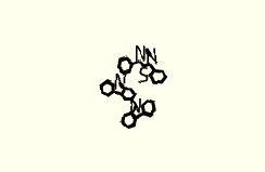 c1cc(-c2ncnc3c2sc2ccccc23)cc(-n2c3ccccc3c3cc(-n4c5ccccc5c5ccccc54)ccc32)c1